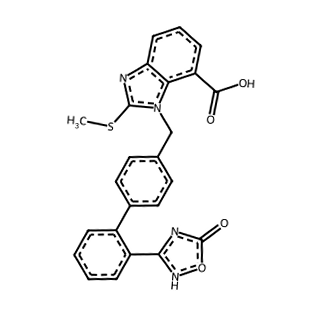 CSc1nc2cccc(C(=O)O)c2n1Cc1ccc(-c2ccccc2-c2nc(=O)o[nH]2)cc1